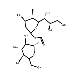 C[C@@H]1OC(CO)[C@@H](O)[C@H](O)C1O[C@]1(OC=O)C[C@@H](O)[C@@H](C)C([C@H](O)[C@H](O)CO)O1